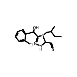 CCC(C)CN1C(C(O)c2ccccc2Cl)=NNC1C=S